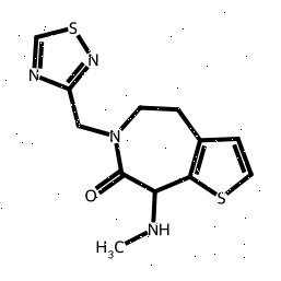 CNC1C(=O)N(Cc2ncsn2)CCc2ccsc21